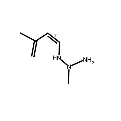 C=C(C)/C=C\NN(C)N